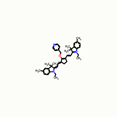 CCN1/C(=C/C=C2\CCC(/C=C/C3=[N+](CC)c4ccc(C)cc4C3(C)C)=C2OCc2ccncc2)C(C)(C)c2cc(C)ccc21